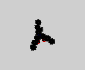 CC1(C)c2cc(-c3ccccc3)ccc2-c2ccc(N(c3ccc4c(c3)oc3cc(-c5ccccc5)ccc34)c3ccc4c(c3)oc3cc(-c5ccccc5)ccc34)cc21